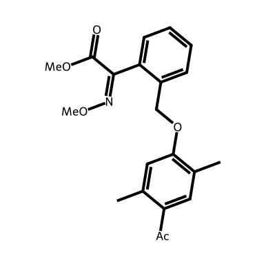 CON=C(C(=O)OC)c1ccccc1COc1cc(C)c(C(C)=O)cc1C